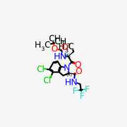 CC[C@H](NC(=O)OC(C)(C)C)C(=O)N1c2ccc(Cl)c(Cl)c2C[C@@H]1C(=O)NCC(F)(F)F